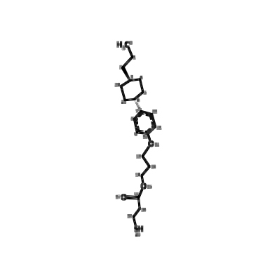 CCC[C@H]1CC[C@H](c2ccc(OCCCOC(=O)CCS)cc2)CC1